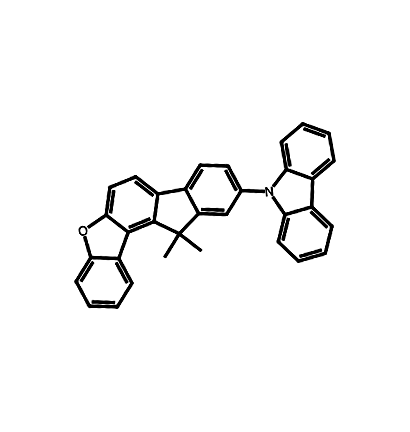 CC1(C)c2cc(-n3c4ccccc4c4ccccc43)ccc2-c2ccc3oc4ccccc4c3c21